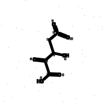 O=C(O)C(=O)C(O)CP(=O)=O